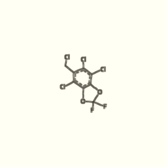 FC1(F)Oc2c(Cl)c(Cl)c(CCl)c(Cl)c2O1